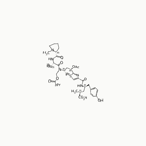 CCCC(=O)OCN(C(=O)C(NC(=O)[C@H]1CCCCN1C)[C@@H](C)CC)[C@H](C[C@@H](OC(C)=O)c1nc(C(=O)N[C@@H](Cc2ccc(O)cc2)C[C@H](C)C(=O)O)cs1)C(C)C